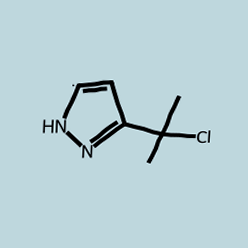 CC(C)(Cl)c1c[c][nH]n1